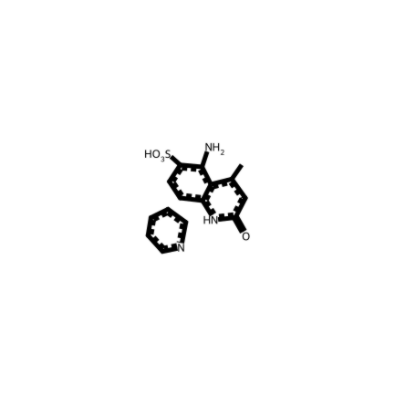 Cc1cc(=O)[nH]c2ccc(S(=O)(=O)O)c(N)c12.c1ccncc1